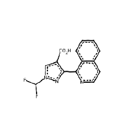 O=C(O)c1cn(C(F)F)nc1-c1nccc2ccccc12